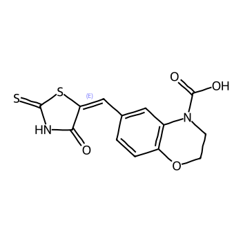 O=C1NC(=S)S/C1=C/c1ccc2c(c1)N(C(=O)O)CCO2